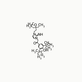 CCC(CC)(CCn1ccn(CC(=O)c2cc(C(C)(C)C)c(O)c(C(C)(C)C)c2)c1=N)OC